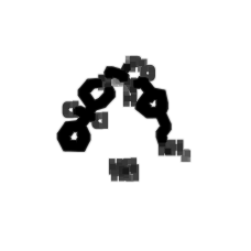 CC(C)[C@H](CN1CCC(C(Cl)(Cl)c2ccccc2)CC1)NC(=O)c1ccc(CCN)cc1.Cl.Cl